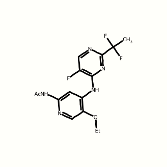 CCOc1cnc(NC(C)=O)cc1Nc1nc(C(C)(F)F)ncc1F